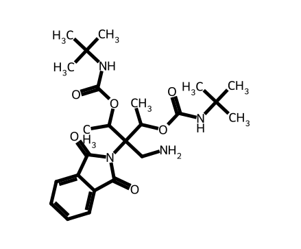 CC(OC(=O)NC(C)(C)C)C(CN)(C(C)OC(=O)NC(C)(C)C)N1C(=O)c2ccccc2C1=O